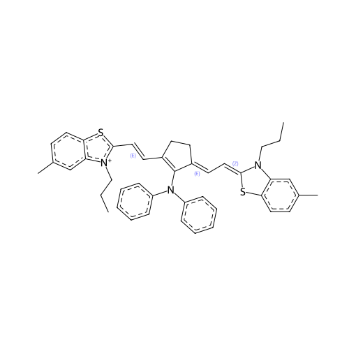 CCCN1/C(=C/C=C2\CCC(/C=C/c3sc4ccc(C)cc4[n+]3CCC)=C2N(c2ccccc2)c2ccccc2)Sc2ccc(C)cc21